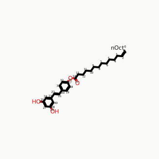 CCCCCCCC/C=C\CCCCCCCCCCCC(=O)Oc1ccc(C=Cc2cc(O)cc(O)c2)cc1